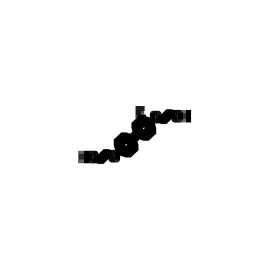 OCCOc1ccc(-c2ccc(OCCO)c(F)c2)cc1